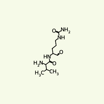 CC(C)C(N)C(=O)NC(C=O)CCCNC(N)=O